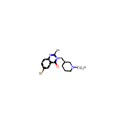 CC(C)c1nc2ccc(Br)cc2c(=O)n1CC1CCCN(C(=O)O)C1